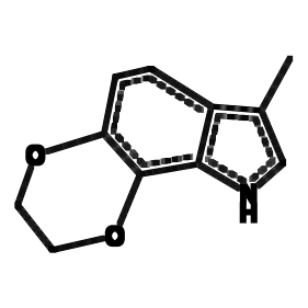 Cc1c[nH]c2c3c(ccc12)OCCO3